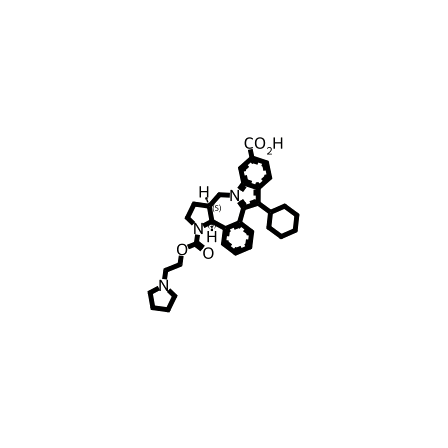 O=C(O)c1ccc2c(C3CCCCC3)c3n(c2c1)C[C@@H]1CCN(C(=O)OCCN2CCCC2)[C@@H]1c1ccccc1-3